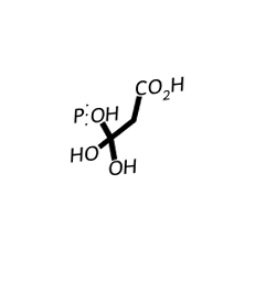 O=C(O)CC(O)(O)O.[P]